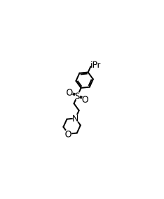 CC(C)c1ccc(S(=O)(=O)CCN2CCOCC2)cc1